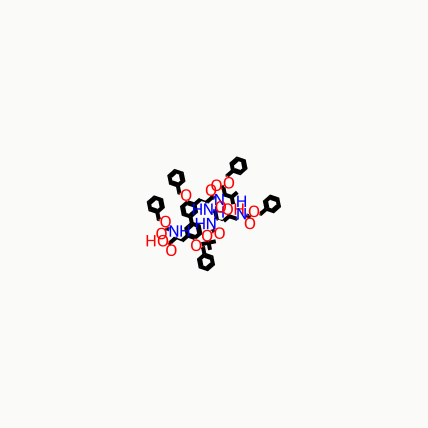 CC(C)[C@H](NC(=O)[C@H](Cc1cc(-c2ccc(OCc3ccccc3)c(C[C@H](NC(=O)OCc3ccccc3)C(=O)O)c2)ccc1OCc1ccccc1)NC(=O)[C@H](C[C@@H](O)CNC(=O)OCc1ccccc1)NC(=O)OC(C)(C)C)C(=O)OCc1ccccc1